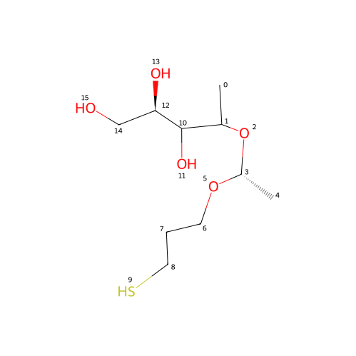 CC(O[C@H](C)OCCCS)C(O)[C@H](O)CO